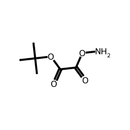 CC(C)(C)OC(=O)C(=O)ON